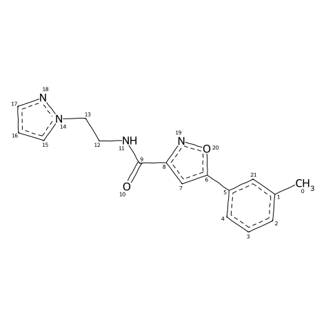 Cc1cccc(-c2cc(C(=O)NCCn3cccn3)no2)c1